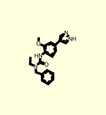 CCN(Cc1ccccc1)C(=O)Nc1ccc(-c2cn[nH]c2)cc1OC